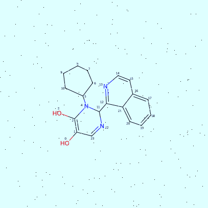 OC1=C(O)N(C2CCCCC2)C(c2nccc3ccccc23)N=C1